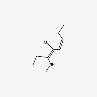 CC/C=C\C(Cl)=C(\CC)NC